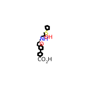 O=C(O)c1ccc(-c2ccc3c(c2)CC[C@H](CNC[C@H](O)CSc2ccccc2)O3)cc1